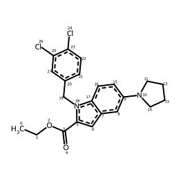 CCOC(=O)c1cc2cc(N3CCCC3)ccc2n1Cc1ccc(Cl)c(Cl)c1